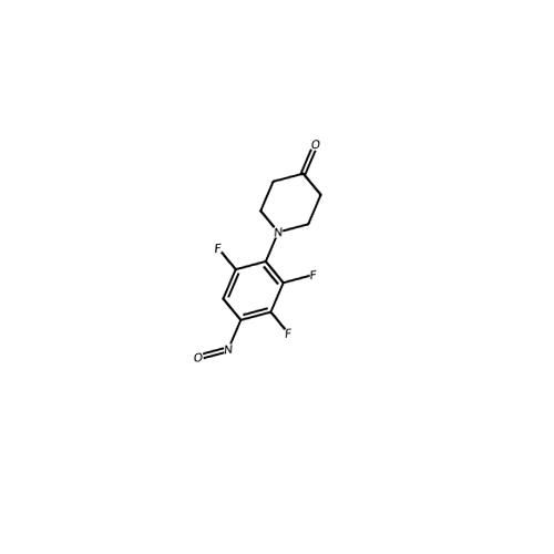 O=Nc1cc(F)c(N2CCC(=O)CC2)c(F)c1F